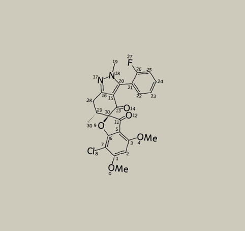 COc1cc(OC)c2c(c1Cl)O[C@]1(C2=O)C(=O)c2c(nn(C)c2-c2ccccc2F)C[C@H]1C